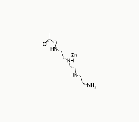 CC(=O)ONCCNCCNCCN.[Zn]